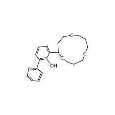 Oc1c(-c2ccccc2)cccc1C1CCCCCCCCCCC1